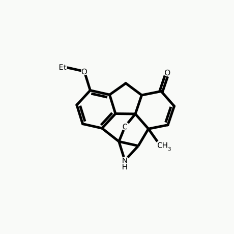 CCOc1ccc2c3c1CC1C(=O)C=CC4(C)C5NC25CC314